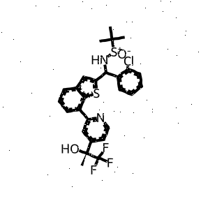 CC(C)(C)[S+]([O-])NC(c1cc2cccc(-c3cc([C@@](C)(O)C(F)(F)F)ccn3)c2s1)c1ccccc1Cl